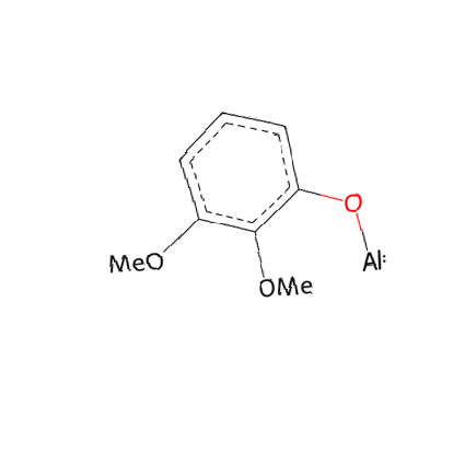 COc1cccc([O][Al])c1OC